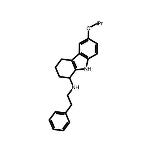 CC(C)Oc1ccc2[nH]c3c(c2c1)CCCC3NCCc1ccccc1